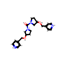 O=C(N1CCC(OCc2ccncc2)C1)N1CCC(OCc2ccncc2)C1